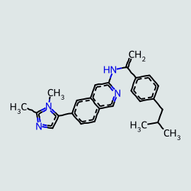 C=C(Nc1cc2cc(-c3cnc(C)n3C)ccc2cn1)c1ccc(CC(C)C)cc1